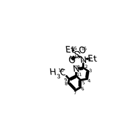 CCN(c1ccc2cccc(C)c2n1)S(=O)(=O)CC